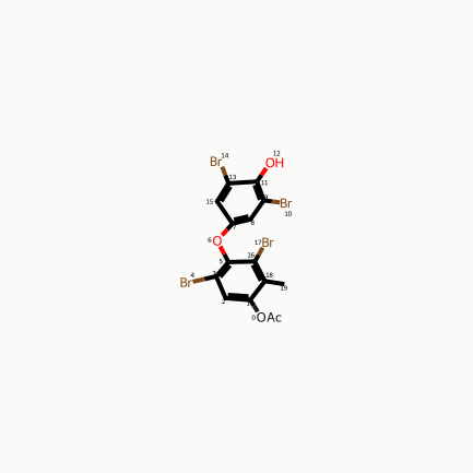 CC(=O)Oc1cc(Br)c(Oc2cc(Br)c(O)c(Br)c2)c(Br)c1C